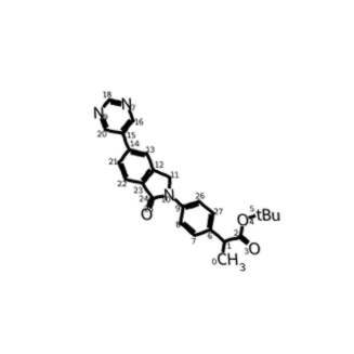 CC(C(=O)OC(C)(C)C)c1ccc(N2Cc3cc(-c4cncnc4)ccc3C2=O)cc1